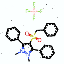 Cn1c(-c2ccccc2)c(S(=O)(=O)Cc2ccccc2)c(-c2ccccc2)[n+]1C.F[B-](F)(F)F